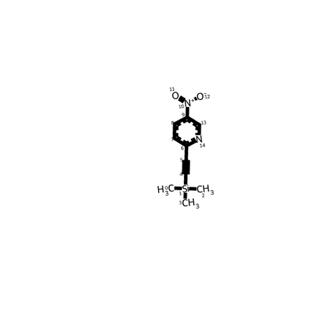 C[Si](C)(C)C#Cc1ccc([N+](=O)[O-])cn1